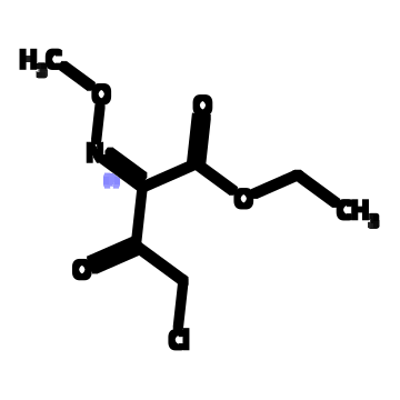 CCOC(=O)/C(=N\OC)C(=O)CCl